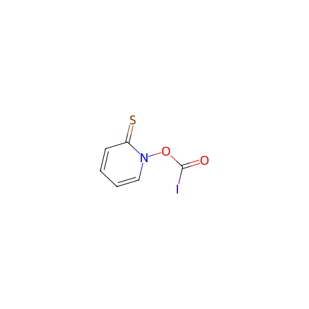 O=C(I)On1ccccc1=S